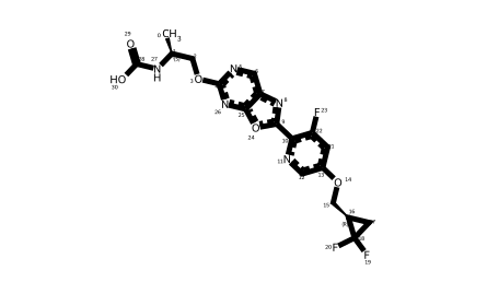 C[C@@H](COc1ncc2nc(-c3ncc(OC[C@H]4CC4(F)F)cc3F)oc2n1)NC(=O)O